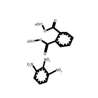 CCCCCCCCOC(=O)c1ccccc1C(=O)OCCCCCCCC.O=[N+]([O-])c1cccc([N+](=O)[O-])c1[N+](=O)[O-]